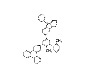 Cc1ccccc1-c1cc(-c2ccc3c(c2)c2ccccc2n3-c2ccccc2)cc(-c2ccc3c4ccccc4c4ccccc4c3c2)c1C